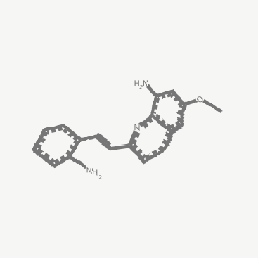 COc1cc(N)c2nc(C=Cc3ccccc3N)ccc2c1